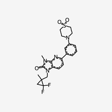 Cn1c(=O)n(CC2(C)CC2(F)F)c2ccc(-c3cccc(N4CCS(=O)(=O)CC4)c3)nc21